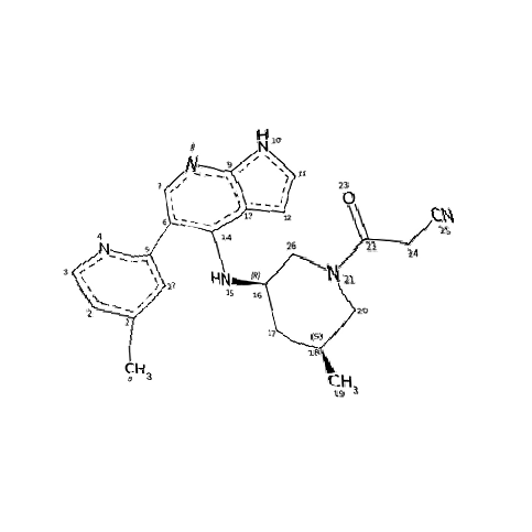 Cc1ccnc(-c2cnc3[nH]ccc3c2N[C@@H]2C[C@H](C)CN(C(=O)CC#N)C2)c1